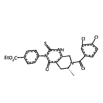 CCOC(=O)c1ccc(-n2c(=S)[nH]c3c(c2=O)C[C@@H](C)N(C(=O)c2ccc(Cl)c(Cl)c2)C3)cc1